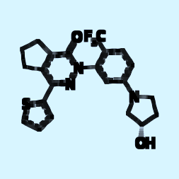 O=c1c2c(c(-c3cccs3)nn1-c1cc(N3CC[C@H](O)C3)ccc1C(F)(F)F)CCC2